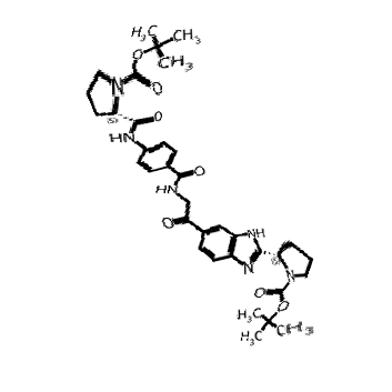 CC(C)(C)OC(=O)N1CCC[C@H]1C(=O)Nc1ccc(C(=O)NCC(=O)c2ccc3nc([C@@H]4CCCN4C(=O)OC(C)(C)C)[nH]c3c2)cc1